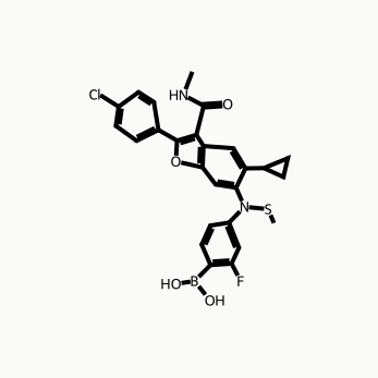 CNC(=O)c1c(-c2ccc(Cl)cc2)oc2cc(N(SC)c3ccc(B(O)O)c(F)c3)c(C3CC3)cc12